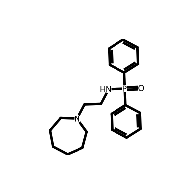 O=P(NCCN1CCCCCC1)(c1ccccc1)c1ccccc1